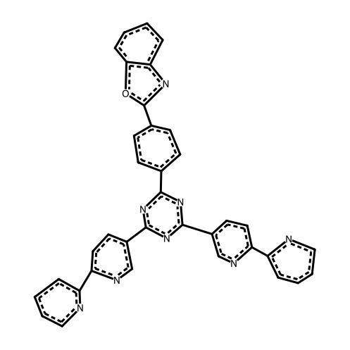 c1ccc(-c2ccc(-c3nc(-c4ccc(-c5nc6ccccc6o5)cc4)nc(-c4ccc(-c5ccccn5)nc4)n3)cn2)nc1